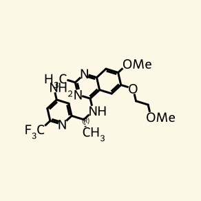 COCCOc1cc2c(N[C@H](C)c3cc(N)cc(C(F)(F)F)n3)nc(C)nc2cc1OC